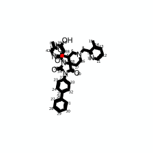 CCOC(=O)C1CN(Cc2ncccc2C)CCC12C(=O)N(c1ccc(-c3ccccc3)cc1)C(=O)N2c1cc(O)ncn1